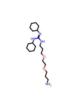 NCCCOCCOCCCNC(=NC1CCCCC1)NC1CCCCC1